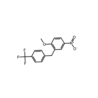 COc1ccc([N+](=O)[O-])cc1Cc1ccc(C(F)(F)F)cc1